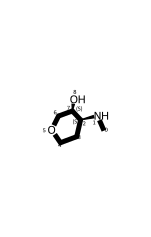 CN[C@H]1CCOC[C@H]1O